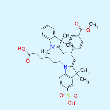 COC(=O)c1ccc(C(=C\C2=[N+](C)c3ccccc3C2(C)C)/C=C2\N(CCCCCC(=O)O)c3ccc(S(=O)(=O)O)cc3C2(C)C)cc1